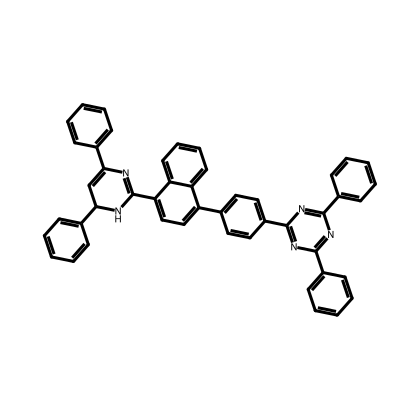 C1=C(c2ccccc2)N=C(c2ccc(-c3ccc(-c4nc(-c5ccccc5)nc(-c5ccccc5)n4)cc3)c3ccccc23)NC1c1ccccc1